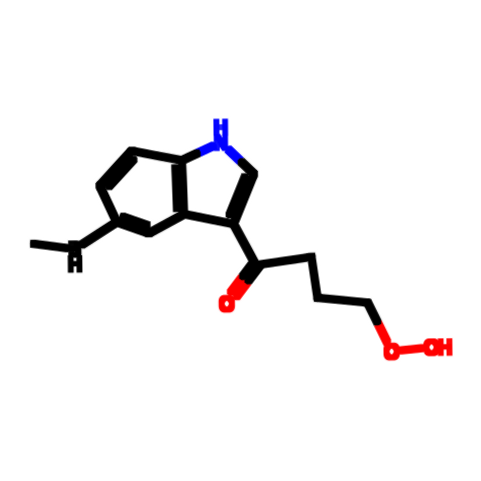 CBc1ccc2[nH]cc(C(=O)CCCOO)c2c1